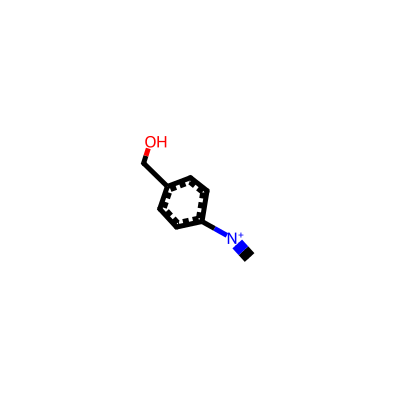 C#[N+]c1ccc(CO)cc1